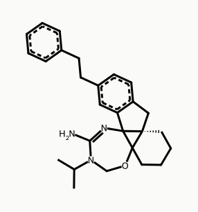 CC(C)N1COC23CCCC[C@]24Cc2ccc(CCc5ccccc5)cc2C34N=C1N